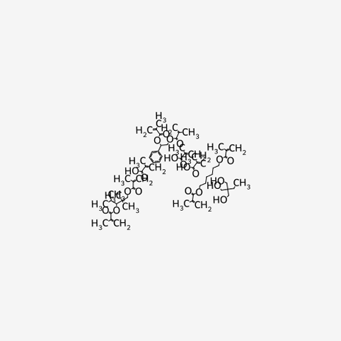 C=C(C)C(=O)O.C=C(C)C(=O)O.C=C(C)C(=O)O.C=C(C)C(=O)OCC(C)(C)C(OC(=O)C(=C)C)C(C)C.C=C(C)C(=O)OCC(OC(=O)C(=C)C)c1ccccc1.C=C(C)C(=O)OCCCCCCOC(=O)C(=C)C.CCC(CO)(CO)CO